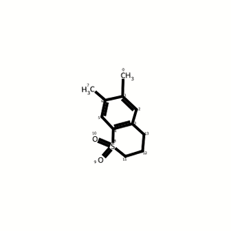 Cc1cc2c(cc1C)S(=O)(=O)CCC2